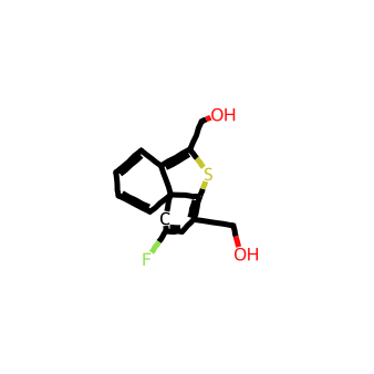 OCC1=C2SC(CO)=C3C=CC=CC32CC(F)=C1